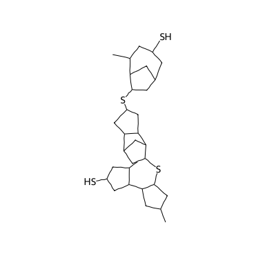 CC1CC(SC2CC3CC2C2CC(SC4CC5CC(S)CC(C)C4C5)CC32)C(C2CC(S)CC2C)C1